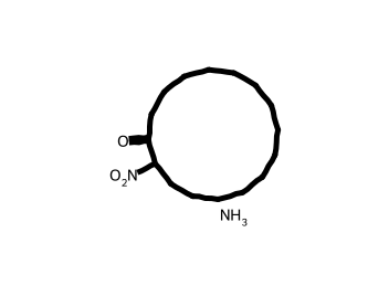 N.O=C1CCCCCCCCCCCCCCC1[N+](=O)[O-]